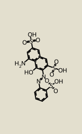 Nc1cc(S(=O)(=O)O)cc2cc(S(=O)(=O)O)c(N=Nc3ccccc3S(=O)(=O)O)c(O)c12